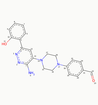 Nc1nnc(-c2ccccc2O)cc1N1CCN(c2ccc(C=O)cc2)CC1